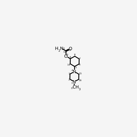 CN1CCN(C2CCCC(OC(N)=O)C2)CC1